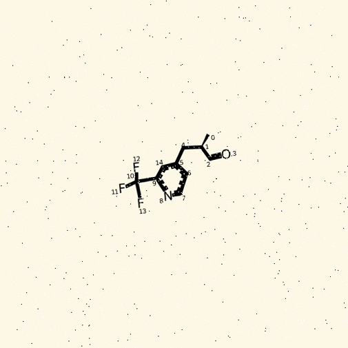 C[C@@H](C=O)Cc1ccnc(C(F)(F)F)c1